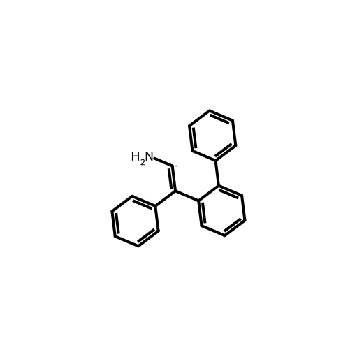 N[C]=C(c1ccccc1)c1ccccc1-c1ccccc1